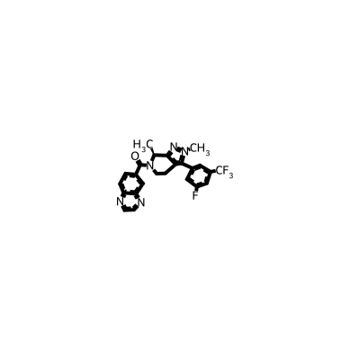 C[C@H]1c2nn(C)c(-c3cc(F)cc(C(F)(F)F)c3)c2CCN1C(=O)c1ccc2nccnc2c1